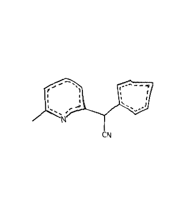 Cc1cccc(C(C#N)c2ccccc2)n1